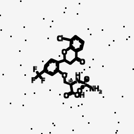 NS(=O)(=O)N[C@H](COc1cc(C(F)(F)F)ccc1C1CC(=O)c2cccc(Cl)c2O1)C(=O)O